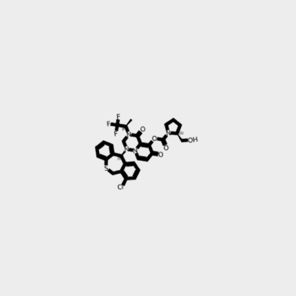 C[C@@H](N1CN([C@@H]2c3ccccc3SCc3c(Cl)cccc32)n2ccc(=O)c(OC(=O)N3CCC[C@H]3CO)c2C1=O)C(F)(F)F